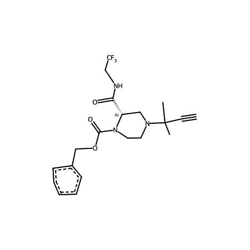 C#CC(C)(C)N1CCN(C(=O)OCc2ccccc2)[C@H](C(=O)NCC(F)(F)F)C1